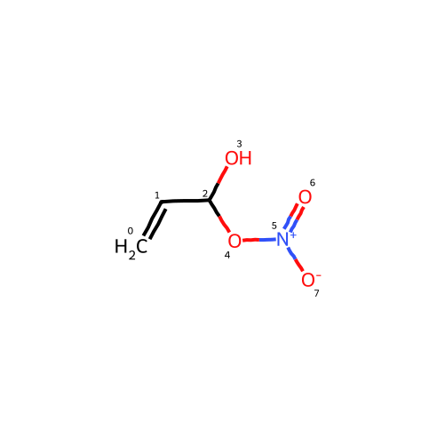 C=CC(O)O[N+](=O)[O-]